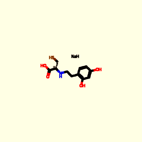 O=C(O)[C@H](CS)NCCc1ccc(O)cc1O.[NaH]